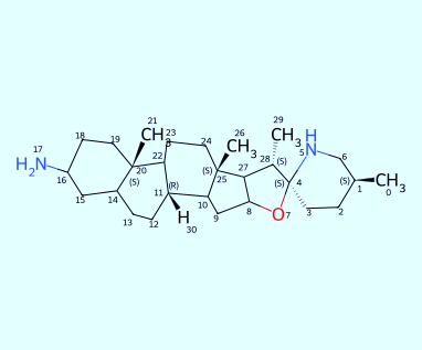 C[C@H]1CC[C@]2(NC1)OC1CC3[C@@H]4CCC5CC(N)CC[C@]5(C)C4CC[C@]3(C)C1[C@@H]2C